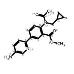 COC(=O)c1cc(-c2ccc(N)cn2)ccc1N(CC1CC1)C(C)=O